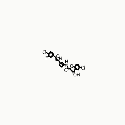 O=C(NC1CC2(c3cc(-c4ccc(Cl)c(F)c4)on3)CC1C2)[C@H]1C[C@@H](O)c2cc(Cl)ccc2O1